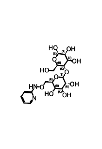 OC[C@H]1O[C@H](O)[C@H](O)[C@@H](O)[C@@H]1O[C@@H]1O[C@H](CONc2ccccn2)[C@H](O)[C@H](O)[C@H]1O